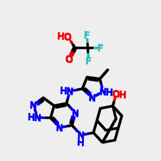 Cc1cc(Nc2nc(NC3C4CC5CC3CC(O)(C5)C4)nc3[nH]ncc23)n[nH]1.O=C(O)C(F)(F)F